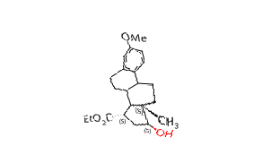 CCOC(=O)[C@H]1C[C@H](O)[C@@]2(C)CCC3c4ccc(OC)cc4CCC3C12